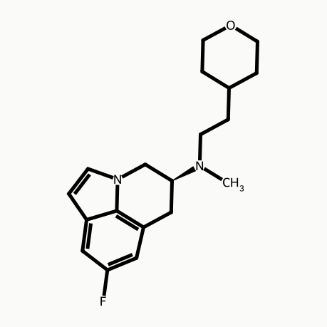 CN(CCC1CCOCC1)[C@H]1Cc2cc(F)cc3ccn(c23)C1